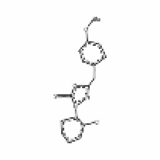 CCC(C)Oc1ccc(Cc2nn(-c3ccccc3Cl)c(=S)o2)cc1